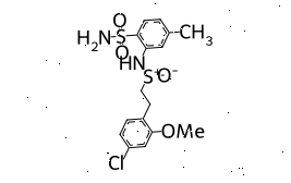 COc1cc(Cl)ccc1CC[S+]([O-])Nc1cc(C)ccc1S(N)(=O)=O